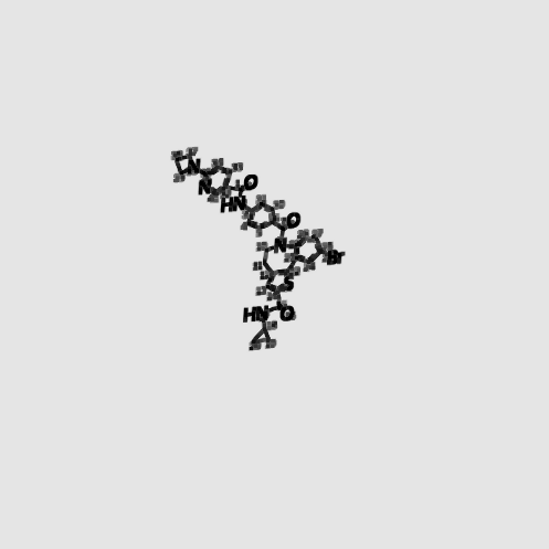 O=C(Nc1ccc(C(=O)N2CCc3cc(C(=O)NC4CC4)sc3-c3cc(Br)ccc32)cc1)c1ccc(N2CCC2)nc1